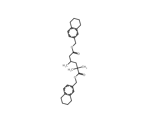 CC(CC(=O)OCc1ccc2c(c1)CCCC2)CC(C)(C)C(=O)OCc1ccc2c(c1)CCCC2